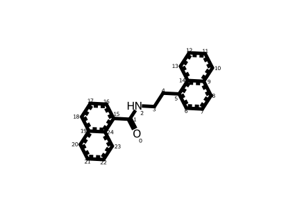 O=C(NCCc1cccc2ccccc12)c1cccc2ccccc12